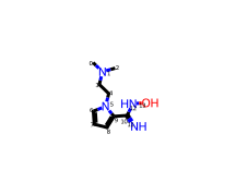 CN(C)CCn1cccc1C(=N)NO